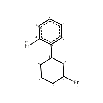 CCC1CCCC(c2ccccc2C(C)C)C1